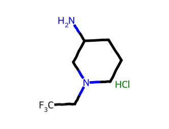 Cl.NC1CCCN(CC(F)(F)F)C1